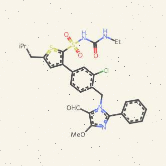 CCNC(=O)NS(=O)(=O)c1sc(CC(C)C)cc1-c1ccc(Cn2c(-c3ccccc3)nc(OC)c2C=O)c(Cl)c1